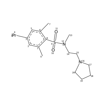 Cc1cc(C(C)C)cc(C)c1S(=O)(=O)N(C)CCN1CCCC1